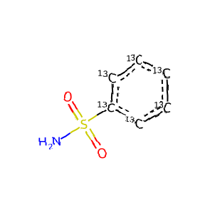 NS(=O)(=O)[13c]1[13cH][13cH][13cH][13cH][13cH]1